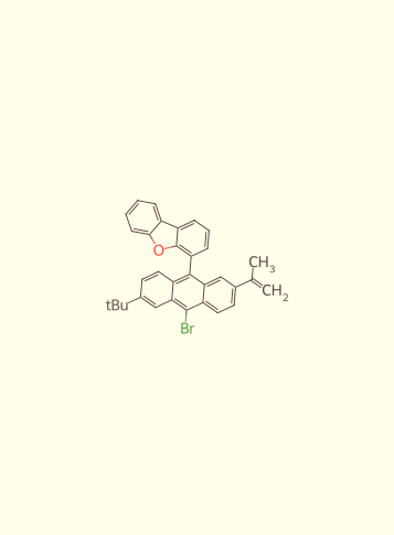 C=C(C)c1ccc2c(Br)c3cc(C(C)(C)C)ccc3c(-c3cccc4c3oc3ccccc34)c2c1